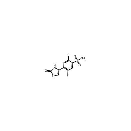 NS(=O)(=O)c1cc(F)c(-c2coc(=O)[nH]2)cc1F